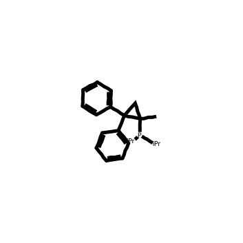 CC(C)P(C(C)C)C1(C)CC1(c1ccccc1)c1ccccc1